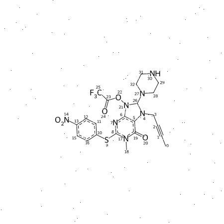 CC#CCN1c2c(nc(Sc3ccc([N+](=O)[O-])cc3)n(C)c2=O)N(OC(=O)C(F)(F)F)C1N1CCNCC1